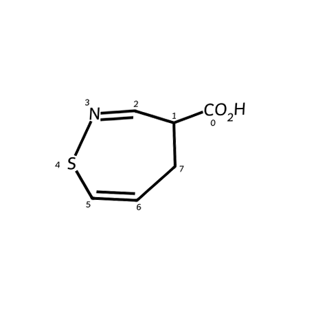 O=C(O)C1C=NSC=CC1